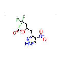 O=COC(Cc1n[nH]cc1[N+](=O)[O-])CC(F)(F)F